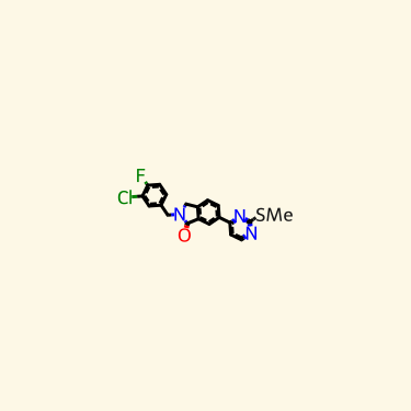 CSc1nccc(-c2ccc3c(c2)C(=O)N(Cc2ccc(F)c(Cl)c2)C3)n1